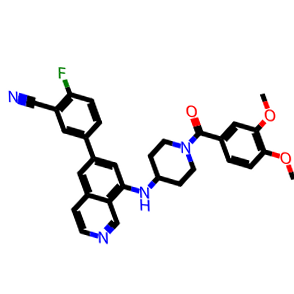 COc1ccc(C(=O)N2CCC(Nc3cc(-c4ccc(F)c(C#N)c4)cc4ccncc34)CC2)cc1OC